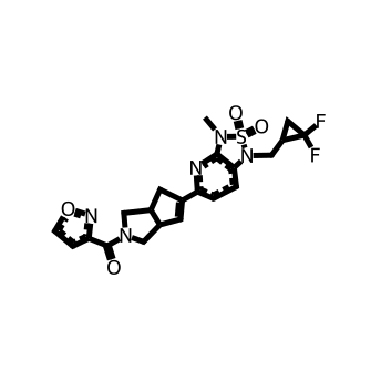 CN1c2nc(C3=CC4CN(C(=O)c5ccon5)CC4C3)ccc2N(CC2CC2(F)F)S1(=O)=O